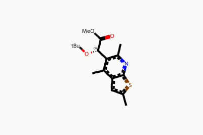 COC(=O)[C@@H](OC(C)(C)C)c1c(C)nc2sc(C)cc2c1C